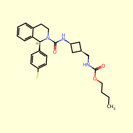 CCCCOC(=O)NC[C@H]1C[C@@H](NC(=O)N2CCc3ccccc3[C@@H]2c2ccc(F)cc2)C1